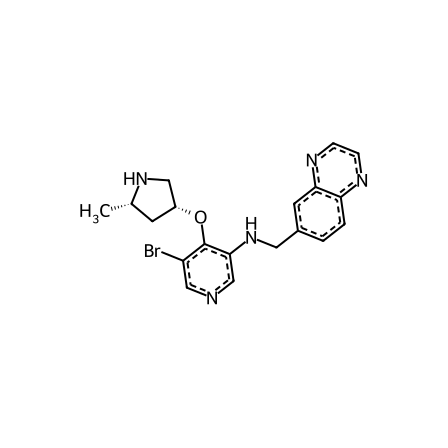 C[C@H]1C[C@@H](Oc2c(Br)cncc2NCc2ccc3nccnc3c2)CN1